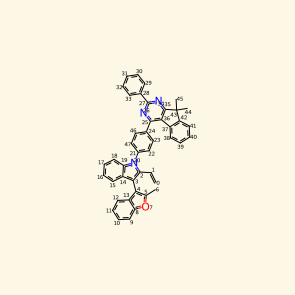 C=Cc1c(-c2c(C)oc3ccccc23)c2ccccc2n1-c1ccc(-c2nc(-c3ccccc3)nc3c2-c2ccccc2C3(C)C)cc1